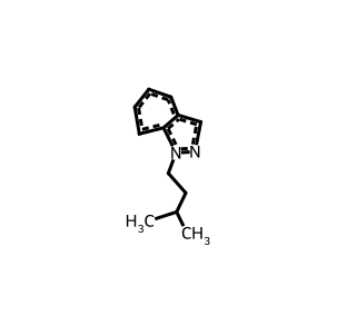 CC(C)CCn1ncc2ccccc21